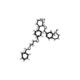 CN1CCCc2ccc(COC3CNCCC3c3ccc(OCCCOCc4ccccc4)cc3)cc21